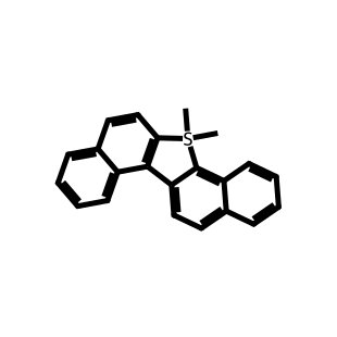 CS1(C)c2ccc3ccccc3c2-c2ccc3ccccc3c21